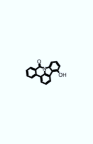 O=c1c2ccccc2c2cccc3c4c(O)cccc4n1c23